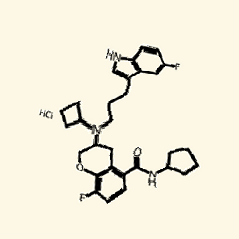 Cl.O=C(NC1CCCC1)c1ccc(F)c2c1CC(N(CCCc1c[nH]c3ccc(F)cc13)C1CCC1)CO2